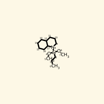 CCC[Si](OC)(OC)N1CCCC2CCCCC21